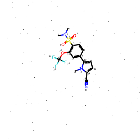 CN(C)S(=O)(=O)c1ccc(-c2ccc(C#N)n2C)cc1OC(F)(F)F